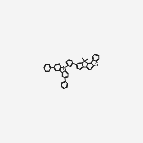 CC1(C)c2cc(-c3cccc(-n4c5ccc(-c6ccccc6)cc5c5cc(-c6ccccc6)ccc54)c3)ccc2-c2ccc3sc4ccccc4c3c21